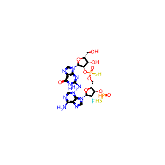 Nc1nc2c(ncn2[C@@H]2O[C@H](CO)[C@H](O)[C@@H]2OP(=O)(S)OC[C@H]2O[C@@H](n3cnc4c(N)ncnc43)[C@@H](F)[C@H]2O[PH](=O)S)c(=O)[nH]1